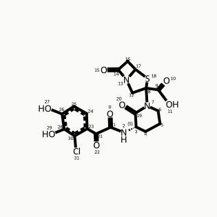 O=C(N[C@H]1CCCN(C2(C(=O)O)CN3C(=O)CC3S2)C1=O)C(=O)c1ccc(O)c(O)c1Cl